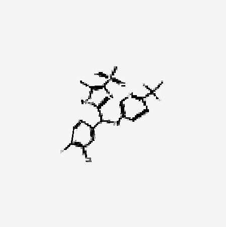 Cc1[nH]c(C(Nc2ccc(C(F)(F)F)nc2)c2ccc(F)c(Cl)c2)nc1S(C)(=O)=O